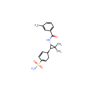 CC1(C)[C@@H](NC(=O)c2cccc(C(F)(F)F)c2)[C@@H]1C1C=CC(S(N)(=O)=O)=CC1